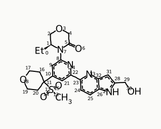 CC[C@H]1COCC(=O)N1c1cc(C2(S(C)(=O)=O)CCOCC2)cc(-c2ccc3[nH]c(CO)cc3n2)n1